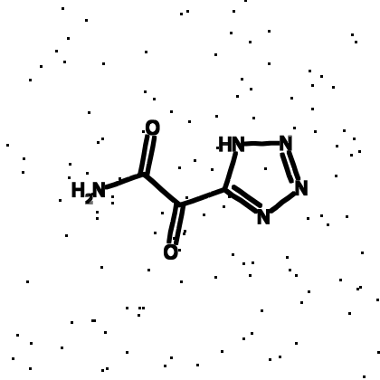 NC(=O)C(=O)c1nnn[nH]1